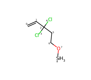 C=CC(Cl)(Cl)CCO[SiH3]